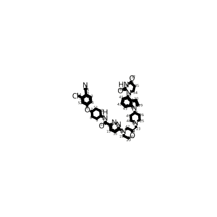 N#Cc1ccc(OC2CCC(NC(=O)c3ccc(N4CCO[C@H](CN5CCC(n6ccc7c(N8CCC(=O)NC8=O)cccc76)CC5)C4)nn3)CC2)cc1Cl